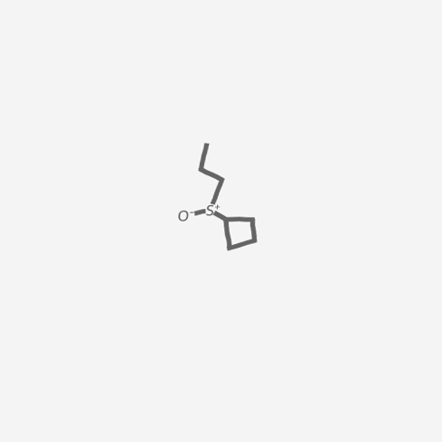 CCC[S+]([O-])C1CCC1